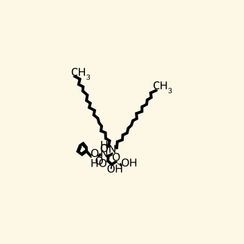 CCCCCCCCCCCCCCCCCCCC(=O)N(CCCCCCCCCCCCCCCCCC)[C@@H]1O[C@H](CO)[C@@H](O)[C@H](O)[C@H]1NC(=O)OCc1ccccc1